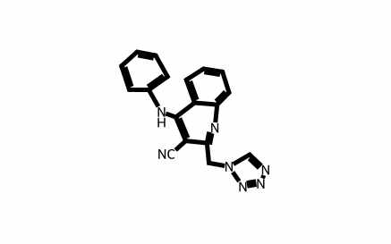 N#Cc1c(Cn2cnnn2)nc2ccccc2c1Nc1ccccc1